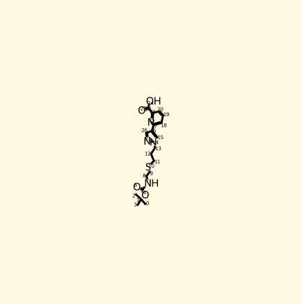 CC(C)(C)OC(=O)NCCSCCCn1cc(-c2cccc(C(=O)O)n2)cn1